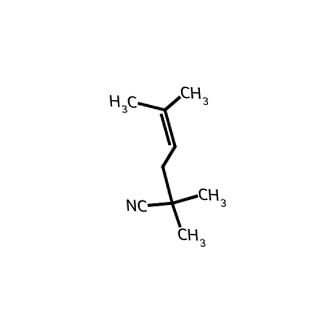 CC(C)=CCC(C)(C)C#N